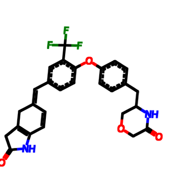 O=C1CC2=C(C=CC(=Cc3ccc(Oc4ccc(CC5COCC(=O)N5)cc4)c(C(F)(F)F)c3)C2)N1